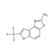 Cc1nc2c(ccc3oc(C(F)(F)F)cc32)o1